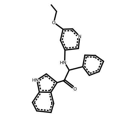 CCOc1cncc(NC(C(=O)c2c[nH]c3ccccc23)c2ccccc2)c1